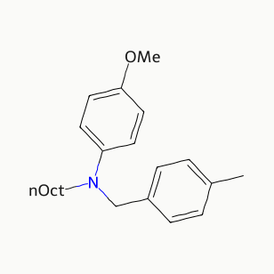 CCCCCCCCN(Cc1ccc(C)cc1)c1ccc(OC)cc1